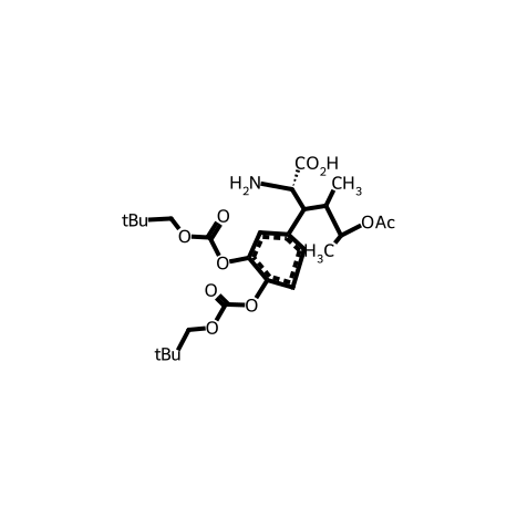 CC(=O)OC(C)C(C)C(c1ccc(OC(=O)OCC(C)(C)C)c(OC(=O)OCC(C)(C)C)c1)[C@H](N)C(=O)O